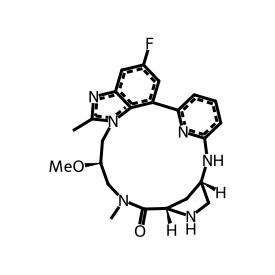 CO[C@@H]1CN(C)C(=O)[C@@H]2C[C@@H](CN2)Nc2cccc(n2)-c2cc(F)cc3nc(C)n(c23)C1